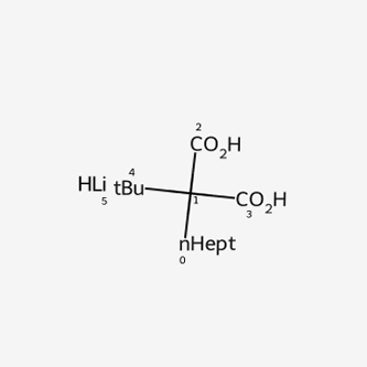 CCCCCCCC(C(=O)O)(C(=O)O)C(C)(C)C.[LiH]